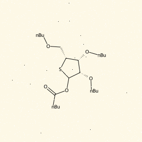 CCCCOC[C@H]1SC(OC(=O)CCCC)[C@@H](OCCCC)[C@H]1OCCCC